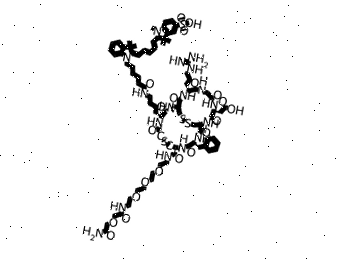 C[N+]1=C(/C=C/C=C/C=C2/N(CCCCCC(=O)NCCCC[C@@H]3NC(=O)CSC[C@@H](C(=O)NCCOCCOCCOCCNC(=O)COCC(N)=O)NC(=O)[C@H](Cc4ccccc4)NC(=O)[C@@H]4CSSC[C@H](NC3=O)C(=O)N[C@@H](CCCNC(=N)N)C(=O)NCC(=O)N[C@@H](CC(=O)O)C(=O)N4)c3ccccc3C2(C)C)C(C)(C)c2cc(S(=O)(=O)O)ccc21